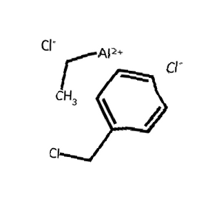 C[CH2][Al+2].ClCc1ccccc1.[Cl-].[Cl-]